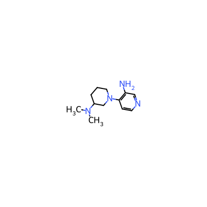 CN(C)C1CCCN(c2ccncc2N)C1